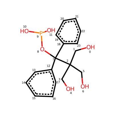 OCC(CO)(CO)C(OP(O)O)(c1ccccc1)c1ccccc1